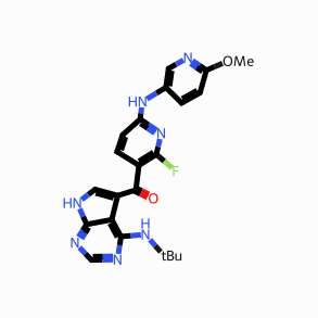 COc1ccc(Nc2ccc(C(=O)c3c[nH]c4ncnc(NC(C)(C)C)c34)c(F)n2)cn1